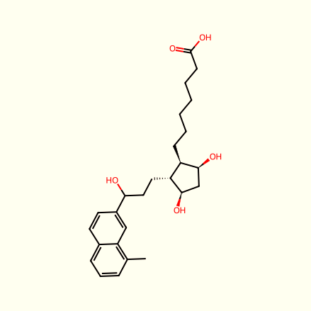 Cc1cccc2ccc(C(O)CC[C@@H]3[C@@H](CCCCCCC(=O)O)[C@@H](O)C[C@H]3O)cc12